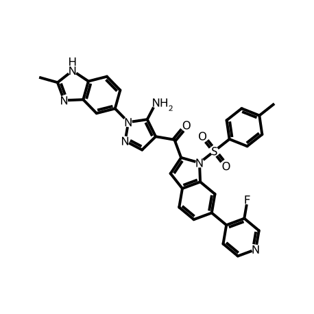 Cc1ccc(S(=O)(=O)n2c(C(=O)c3cnn(-c4ccc5[nH]c(C)nc5c4)c3N)cc3ccc(-c4ccncc4F)cc32)cc1